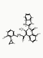 Cc1c(C(=O)NCc2cccc(F)c2C2CC2)c2cccc(F)c2c(=O)n1-c1nc2ccccc2[nH]1